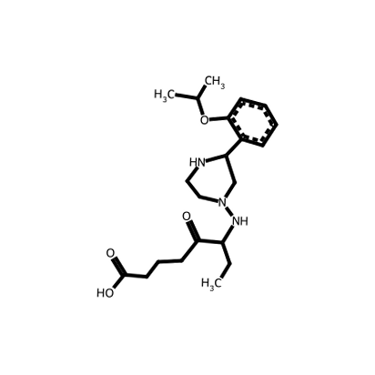 CCC(NN1CCNC(c2ccccc2OC(C)C)C1)C(=O)CCCC(=O)O